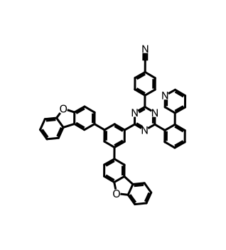 N#Cc1ccc(-c2nc(-c3cc(-c4ccc5oc6ccccc6c5c4)cc(-c4ccc5oc6ccccc6c5c4)c3)nc(-c3ccccc3-c3cccnc3)n2)cc1